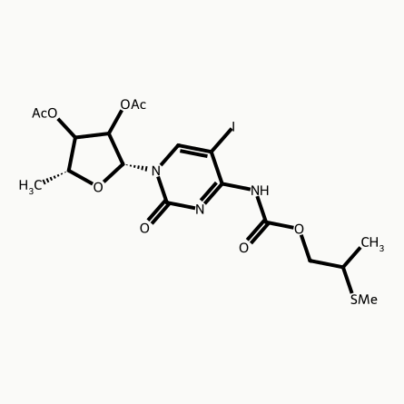 CSC(C)COC(=O)Nc1nc(=O)n([C@@H]2O[C@H](C)C(OC(C)=O)C2OC(C)=O)cc1I